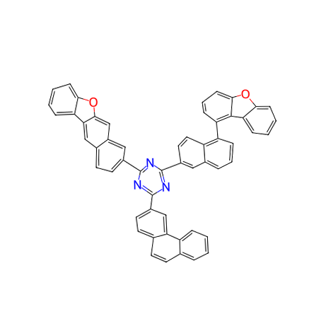 c1cc(-c2cccc3oc4ccccc4c23)c2ccc(-c3nc(-c4ccc5cc6c(cc5c4)oc4ccccc46)nc(-c4ccc5ccc6ccccc6c5c4)n3)cc2c1